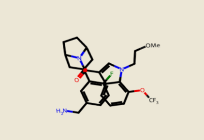 COCCn1cc(C(=O)N2C3CCC2CC(c2cc(CN)ccc2F)C3)c2cccc(OC(F)(F)F)c21